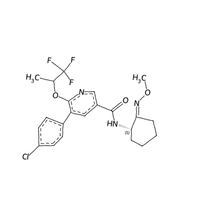 CON=C1CCCC[C@@H]1NC(=O)c1cnc(OC(C)C(F)(F)F)c(-c2ccc(Cl)cc2)c1